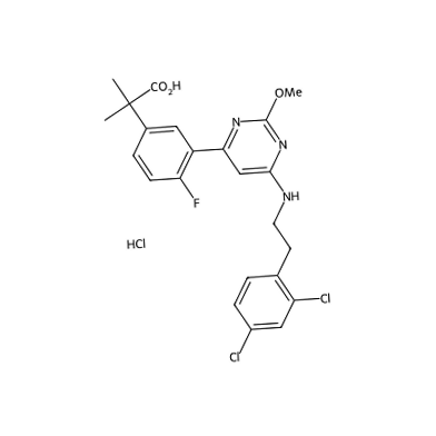 COc1nc(NCCc2ccc(Cl)cc2Cl)cc(-c2cc(C(C)(C)C(=O)O)ccc2F)n1.Cl